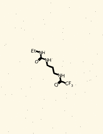 CCNC(=O)NCCCNC(=O)C(F)(F)F